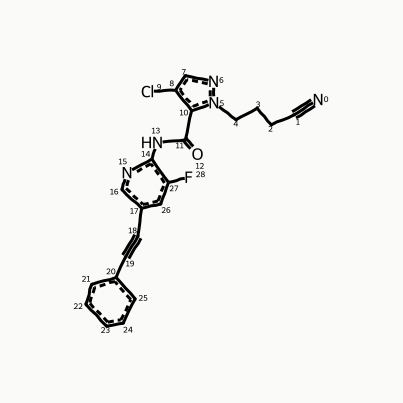 N#CCCCn1ncc(Cl)c1C(=O)Nc1ncc(C#Cc2ccccc2)cc1F